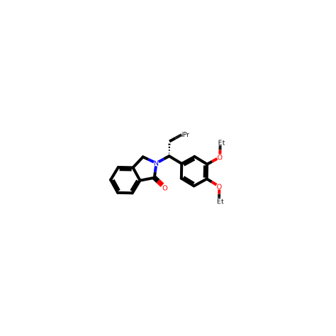 CCOc1ccc([C@@H](CC(C)C)N2Cc3ccccc3C2=O)cc1OCC